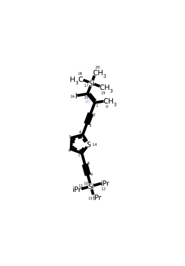 C/C(C#Cc1ccc(C#C[Si](C(C)C)(C(C)C)C(C)C)s1)=C(/I)[Si](C)(C)C